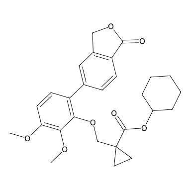 COc1ccc(-c2ccc3c(c2)COC3=O)c(OCC2(C(=O)OC3CCCCC3)CC2)c1OC